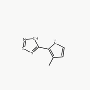 Cc1cc[nH]c1-c1nnn[nH]1